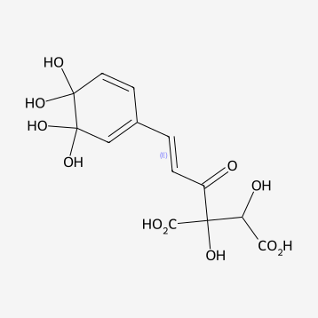 O=C(O)C(O)C(O)(C(=O)O)C(=O)/C=C/C1=CC(O)(O)C(O)(O)C=C1